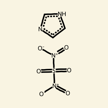 O=[N+]([O-])S(=O)(=O)[N+](=O)[O-].c1c[nH]cn1